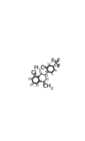 C=C1CC(c2ccc(C(F)(F)F)cc2C)Cc2c(Cl)cccc21